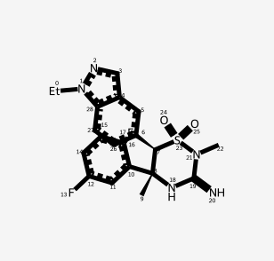 CCn1ncc2cc([C@@H]3[C@@](C)(c4cc(F)ccc4F)NC(=N)N(C)S3(=O)=O)ccc21